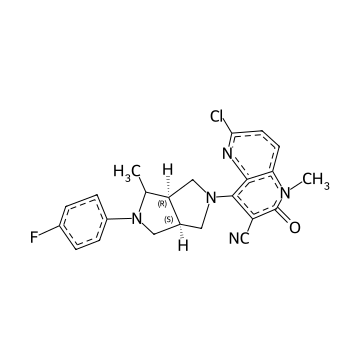 CC1[C@H]2CN(c3c(C#N)c(=O)n(C)c4ccc(Cl)nc34)C[C@H]2CN1c1ccc(F)cc1